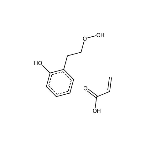 C=CC(=O)O.OOCCc1ccccc1O